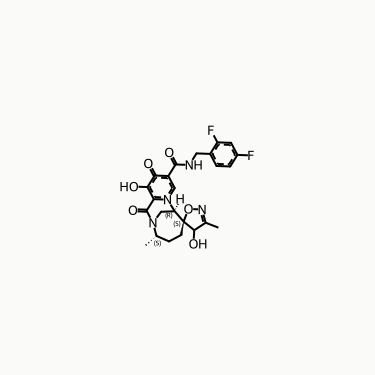 CC1=NO[C@]2(CC[C@H](C)N3C[C@H]2n2cc(C(=O)NCc4ccc(F)cc4F)c(=O)c(O)c2C3=O)C1O